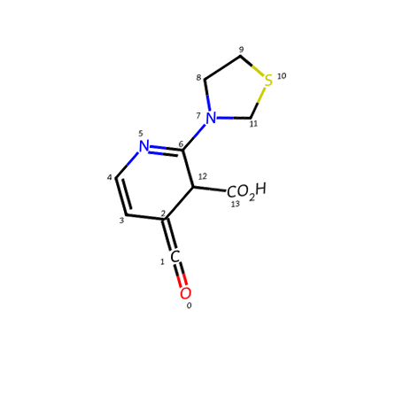 O=C=C1C=CN=C(N2CCSC2)C1C(=O)O